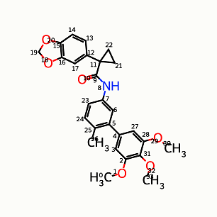 COc1cc(-c2cc(NC(=O)C3(c4ccc5c(c4)OCO5)CC3)ccc2C)cc(OC)c1OC